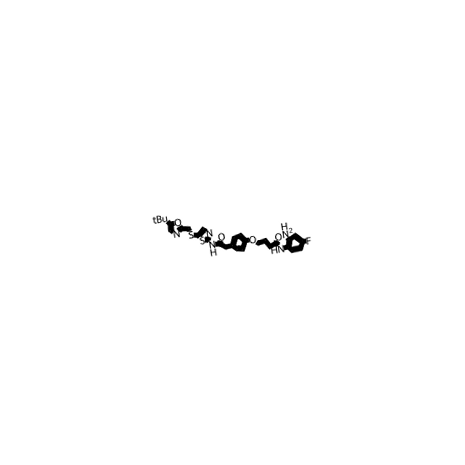 CC(C)(C)c1cnc(CSc2cnc(NC(=O)Cc3ccc(OCCCC(=O)Nc4ccc(F)cc4N)cc3)s2)o1